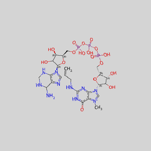 C=CCNc1nc2c(c(=O)[nH]1)[n+](C)cn2[C@@H]1O[C@H](COP(=O)(O)OP(=O)(O)OP(=O)(O)OC[C@H]2O[C@@H](n3cnc4c3NCNC4N)C(O)[C@H]2O)[C@H](O)C1O